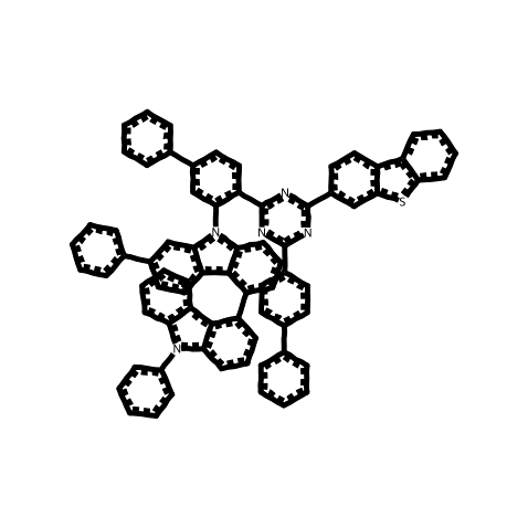 c1ccc(-c2ccc(-c3nc(-c4ccc5c(c4)sc4ccccc45)nc(-c4ccc(-c5ccccc5)cc4-n4c5cc(-c6ccccc6)ccc5c5c(-c6cccc7c6c6ccccc6n7-c6ccccc6)cccc54)n3)cc2)cc1